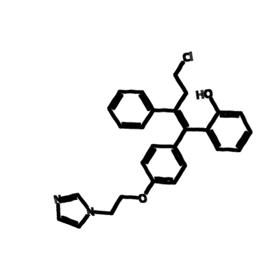 Oc1ccccc1/C(=C(\CCCl)c1ccccc1)c1ccc(OCCn2ccnc2)cc1